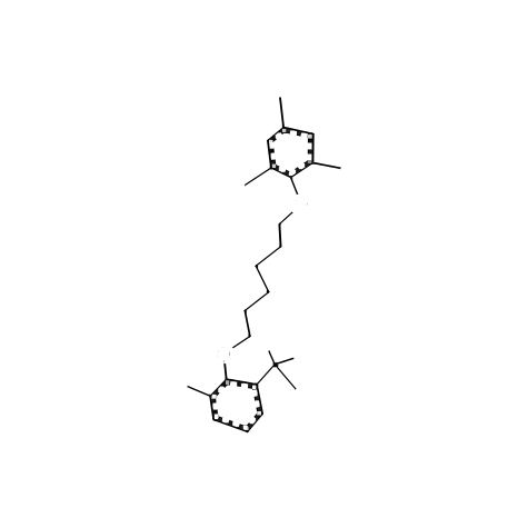 Cc1cc(C)c(OCCC[CH]CCOc2c(C)cccc2C(C)(C)C)c(C)c1